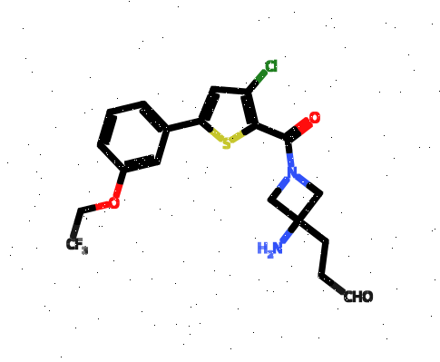 NC1(CCC=O)CN(C(=O)c2sc(-c3cccc(OCC(F)(F)F)c3)cc2Cl)C1